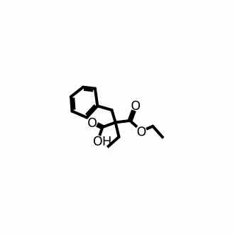 CCOC(=O)C(CC)(Cc1ccccc1)C(=O)O